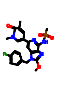 COc1nc2c(NS(C)(=O)=O)nc(-c3cc(C)c(=O)n(C)c3)cc2n1Cc1ccc(F)cc1